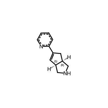 C1=C(c2ccccn2)C[C@H]2CNC[C@@H]12